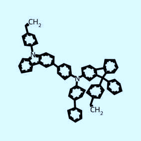 C=Cc1ccc(-n2c3ccccc3c3cc(-c4ccc(N(c5ccc(-c6ccccc6)cc5)c5ccc6c(c5)C(c5ccccc5)(c5ccc(C=C)cc5)c5ccccc5-6)cc4)ccc32)cc1